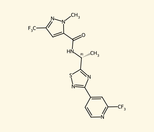 C[C@@H](NC(=O)c1cc(C(F)(F)F)nn1C)c1nc(-c2ccnc(C(F)(F)F)c2)ns1